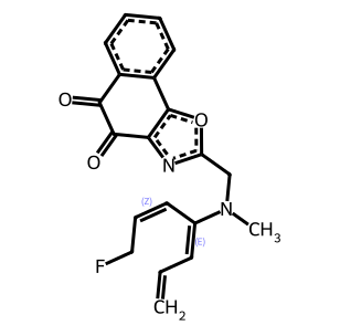 C=C/C=C(\C=C/CF)N(C)Cc1nc2c(o1)-c1ccccc1C(=O)C2=O